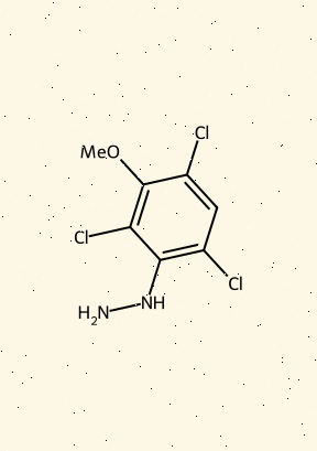 COc1c(Cl)cc(Cl)c(NN)c1Cl